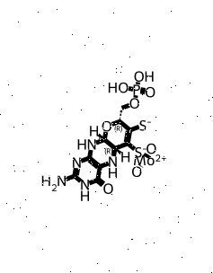 Nc1nc2c(c(=O)[nH]1)N[C@H]1C([S-])=C([S-])[C@@H](COP(=O)(O)O)O[C@H]1N2.[O]=[Mo+2]=[O]